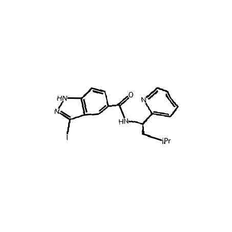 CC(C)C[C@@H](NC(=O)c1ccc2[nH]nc(I)c2c1)c1ccccn1